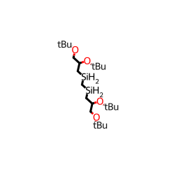 CC(C)(C)OCC(C[SiH2]C[SiH2]CC(COC(C)(C)C)OC(C)(C)C)OC(C)(C)C